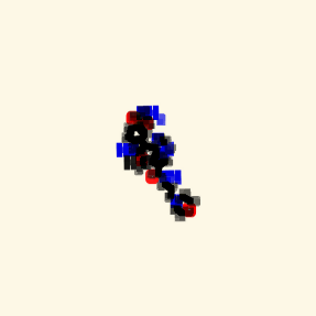 Cc1c(C(=O)NCCCN2CCOCC2)cn2ncnc(C3C(=O)Nc4ccc(S(N)(=O)=O)cc43)c12